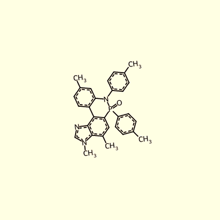 Cc1ccc(N2c3cc(C)ccc3-c3c(cc(C)c4c3ncn4C)P2(=O)c2ccc(C)cc2)cc1